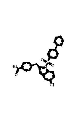 O=C(O)c1ccc(Cc2cc3cc(Cl)ccc3n2S(=O)(=O)c2ccc(-c3ccccc3)cc2)cc1